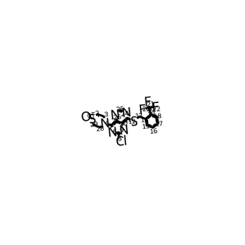 [O-][S+]1CCN(c2nc(Cl)nc3c(SCc4ccccc4C(F)(F)F)ncnc23)CC1